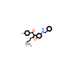 CCCCc1oc2ccc(NCc3ccccc3)cc2c1C(=O)c1ccc(F)cc1